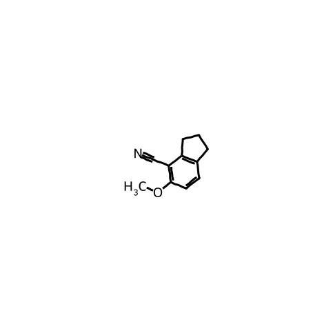 COc1ccc2c(c1C#N)CCC2